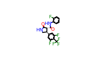 O=C1NC[C@H](c2cc(F)c(C(F)(F)F)c(F)c2)[C@H]1C(=O)Nc1ccccc1F